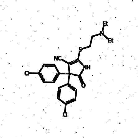 CCN(CC)CCSC1=C(C#N)C(c2ccc(Cl)cc2)(c2ccc(Cl)cc2)C(=O)N1